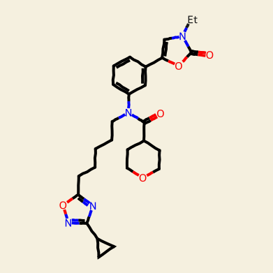 CCn1cc(-c2cccc(N(CCCCCc3nc(C4CC4)no3)C(=O)C3CCOCC3)c2)oc1=O